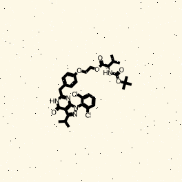 CC(C)c1nn(-c2c(Cl)cccc2Cl)c2nc(Cc3ccc(OCCOC(=O)[C@@H](NC(=O)OC(C)(C)C)C(C)C)cc3)[nH]c(=O)c12